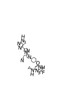 N#CCC1(n2cc(-c3ncnc4[nH]ccc34)cn2)CN([C@H]2CC[C@@H](OC3=CC(NC4CC4)=NC(C(F)(F)F)N3)CC2)C1